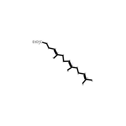 CCOC(=O)CC/C=C(\C)CC/C=C(\C)CCC=C(C)C